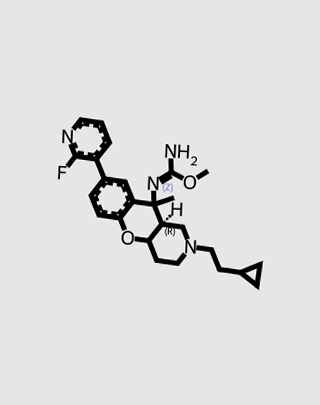 CO/C(N)=N\C1(C)c2cc(-c3cccnc3F)ccc2OC2CCN(CCC3CC3)C[C@@H]21